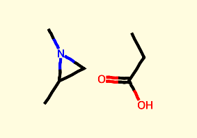 CC1CN1C.CCC(=O)O